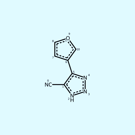 N#Cc1[nH]nnc1-c1ccoc1